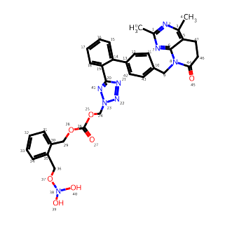 Cc1nc(C)c2c(n1)N(Cc1ccc(-c3ccccc3-c3nnn(COC(=O)OCc4ccccc4CON(O)O)n3)cc1)C(=O)CC2